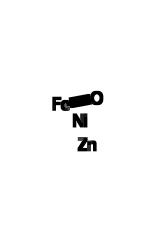 [Ni].[O]=[Fe].[Zn]